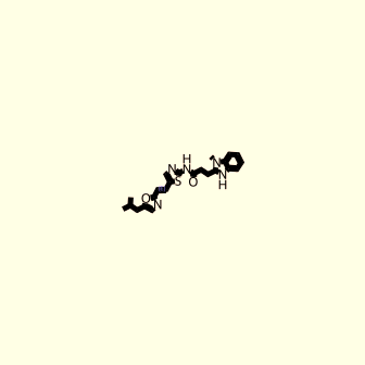 CC(C)Cc1cnc(/C=C/c2cnc(NC(=O)CCC3Nc4ccccc4N3C)s2)o1